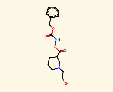 O=C(NOC(=O)C1CCCN(CCO)C1)OCc1ccccc1